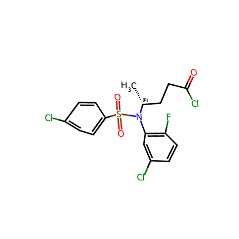 C[C@H](CCC(=O)Cl)N(c1cc(Cl)ccc1F)S(=O)(=O)c1ccc(Cl)cc1